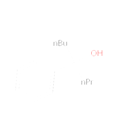 CCCCC(O)(CCC)c1ccccc1